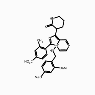 COc1ccc(CN[N+]23C=CN=CC2=C(C2CCCNC2=S)N=C3c2ccc(C(=O)O)cc2C)c(OC)c1